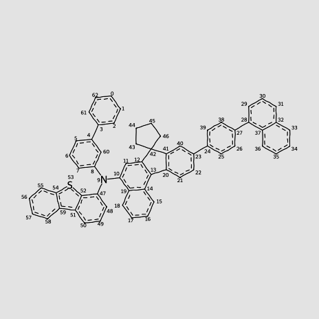 c1ccc(-c2cccc(N(c3cc4c(c5ccccc35)-c3ccc(-c5ccc(-c6cccc7ccccc67)cc5)cc3C43CCCC3)c3cccc4c3sc3ccccc34)c2)cc1